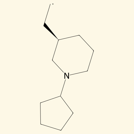 [CH2]C[C@H]1CCCN(C2CCCC2)C1